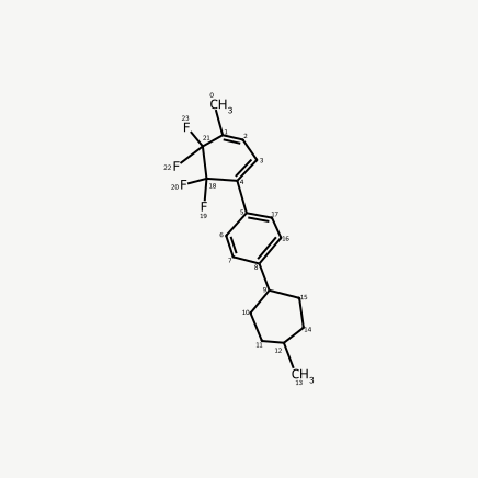 CC1=CC=C(c2ccc(C3CCC(C)CC3)cc2)C(F)(F)C1(F)F